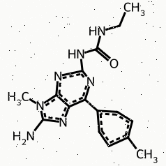 CCNC(=O)Nc1nc(-c2ccc(C)cc2)c2nc(N)n(C)c2n1